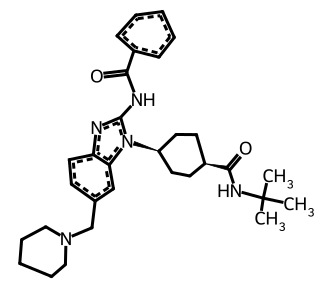 CC(C)(C)NC(=O)[C@H]1CC[C@@H](n2c(NC(=O)c3ccccc3)nc3ccc(CN4CCCCC4)cc32)CC1